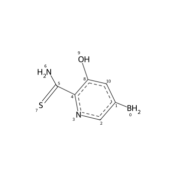 Bc1cnc(C(N)=S)c(O)c1